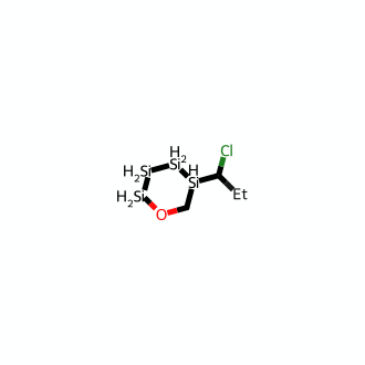 CCC(Cl)[SiH]1CO[SiH2][SiH2][SiH2]1